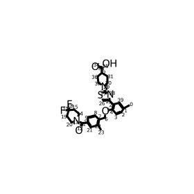 Cc1ccc(OCc2ccc(C(=O)N3CCC(F)(F)CC3)cc2C)c(-c2csc(N3CCC(C(=O)O)CC3)n2)c1